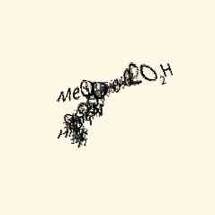 COc1cc2c(Oc3ccc(NC(=O)C4(C(=O)Nc5ccc(F)cc5)CC4)cc3F)ccnc2cc1OCCCCOCCCCOCC(=O)O